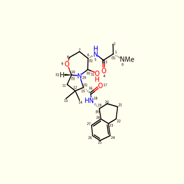 CN[C@@H](C)C(=O)N[C@H]1CCO[C@H]2CC(C)(C)[C@@H](C(=O)N[C@@H]3CCCc4ccccc43)N2C1O